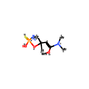 CCCN(CCC)C(=CC(C)(CC)OP(N)(O)=S)OCC